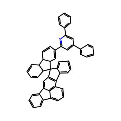 C1=CC2C3C=CC(c4cc(-c5ccccc5)cc(-c5ccccc5)n4)=CC3C3(c4ccccc4-c4c3cc3c5c(cccc45)-c4ccccc4-3)C2C=C1